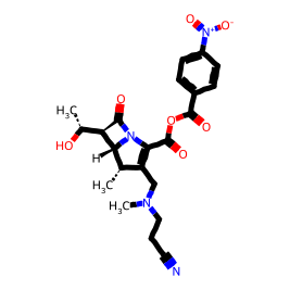 C[C@@H](O)[C@H]1C(=O)N2C(C(=O)OC(=O)c3ccc([N+](=O)[O-])cc3)=C(CN(C)CCC#N)[C@H](C)[C@H]12